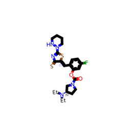 CCN(CC)[C@H]1CCN(C(=O)Oc2cc(F)ccc2/C=C2\SC(N3CCCCN3)=NC2=S)C1